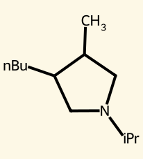 CCCCC1CN(C(C)C)CC1C